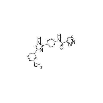 O=C(Nc1ccc(-c2nc(-c3cccc(C(F)(F)F)c3)c[nH]2)cc1)c1csnn1